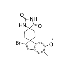 COc1cc2c(cc1C)C=C(Br)C21CCC2(CC1)NC(=O)NC2=O